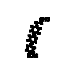 CCCCCCCCc1ccc(-c2ccc(C3CCC(CCC=O)CC3)cc2)nc1